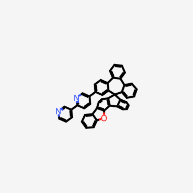 c1cncc(-c2ccc(-c3ccc4c(c3)C3(c5ccccc5-c5ccccc5-4)c4ccccc4-c4c3ccc3c4oc4ccccc43)cn2)c1